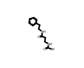 CC(C)C(=O)NCCC(=O)NCCc1ccccc1